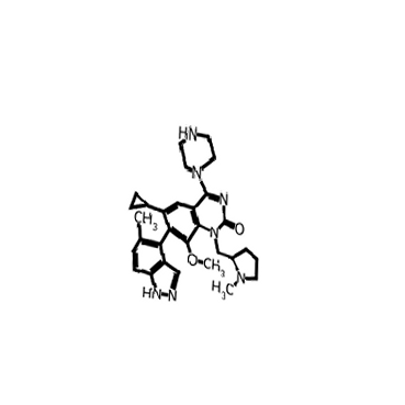 COc1c(-c2c(C)ccc3[nH]ncc23)c(C2CC2)cc2c(N3CCNCC3)nc(=O)n(CC3CCCN3C)c12